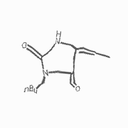 CC=C1NC(=O)N(CCCC)C1=O